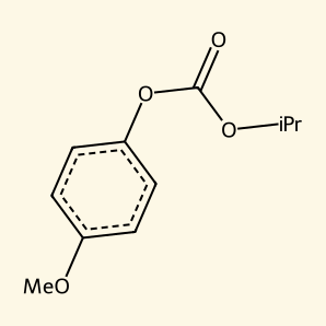 COc1ccc(OC(=O)OC(C)C)cc1